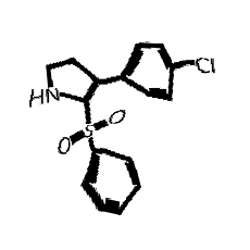 O=S(=O)(c1ccccc1)C1NCCC1c1ccc(Cl)cc1